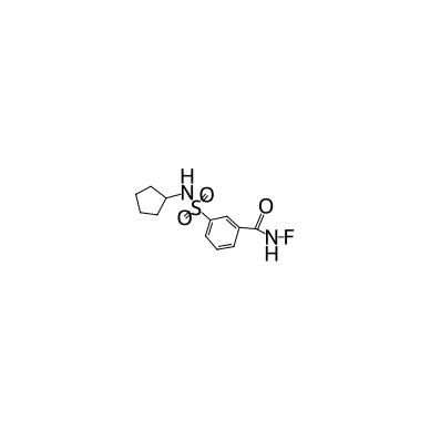 O=C(NF)c1cccc(S(=O)(=O)NC2CCCC2)c1